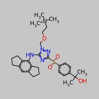 CC(C)(O)c1ccc(S(=O)(=O)c2nc(Nc3c4c(cc5c3CCC5)CCC4)n(COCC[Si](C)(C)C)n2)cc1